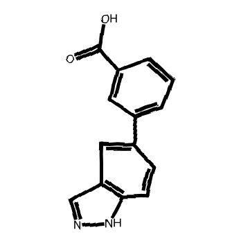 O=C(O)c1cccc(-c2ccc3[nH]ncc3c2)c1